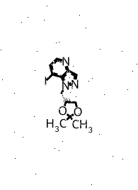 CC1(C)OC[C@@H](Cn2ncc3nccc(I)c32)O1